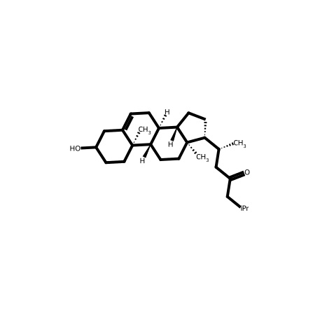 CC(C)CC(=O)C[C@@H](C)[C@H]1CC[C@H]2[C@@H]3CC=C4CC(O)CC[C@]4(C)[C@H]3CC[C@]12C